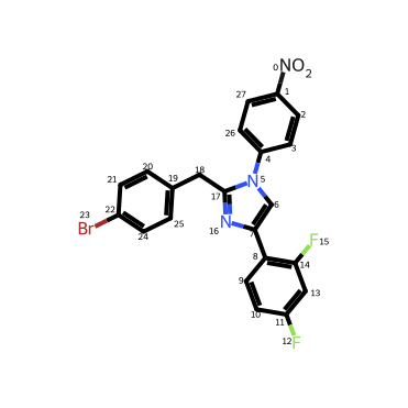 O=[N+]([O-])c1ccc(-n2cc(-c3ccc(F)cc3F)nc2Cc2ccc(Br)cc2)cc1